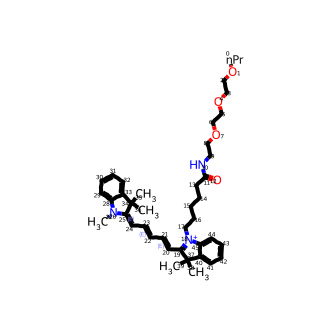 CCCOCCOCCOCCNC(=O)CCCCC[N+]1=C(/C=C/C=C/C=C2/N(C)c3ccccc3C2(C)C)C(C)(C)c2ccccc21